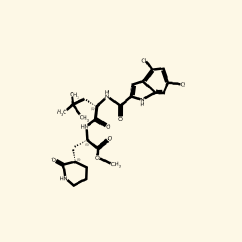 COC(=O)[C@H](C[C@@H]1CCCNC1=O)NC(=O)[C@H](CC(C)(C)C)NC(=O)c1cc2c(Cl)cc(Cl)cc2[nH]1